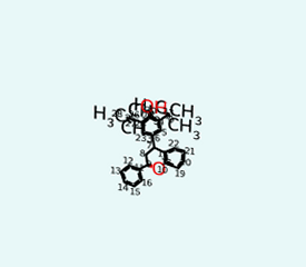 CC(C)(C)c1cc(C(CC(=O)c2ccccc2)c2ccccc2)cc(C(C)(C)C)c1O